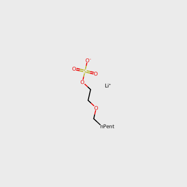 CCCCCCOCCOS(=O)(=O)[O-].[Li+]